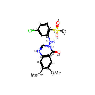 CCS(=O)(=O)c1ccc(Cl)cc1Nn1cnc2cc(OC)c(OC)cc2c1=O